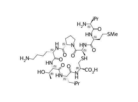 CSCC[C@H](NC(=O)[C@@H](N)C(C)C)C(=O)N[C@@H](C)C(=O)N1CCC[C@H]1C(=O)N[C@@H](CCCCN)C(=O)N[C@H](C(=O)N[C@@H](CC(C)C)C(=O)N[C@@H](CS)C(=O)O)[C@@H](C)O